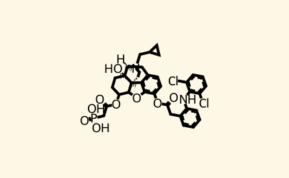 O=C(Cc1ccccc1Nc1c(Cl)cccc1Cl)Oc1ccc2c3c1OC1C(OC(=O)CP(=O)(O)O)CC[C@@]4(O)[C@@H](C2)N(CC2CC2)CC[C@]314